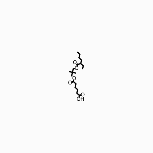 CCCCC(CC)C(=O)OCC(C)(C)COC(=O)CCCCC(=O)O